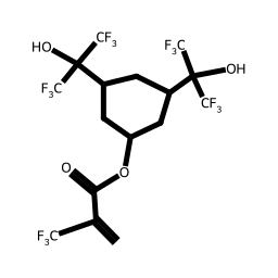 C=C(C(=O)OC1CC(C(O)(C(F)(F)F)C(F)(F)F)CC(C(O)(C(F)(F)F)C(F)(F)F)C1)C(F)(F)F